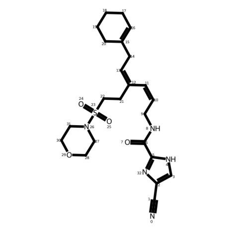 N#Cc1c[nH]c(C(=O)NC/C=C\C(=C/CC2=CCCCC2)CCS(=O)(=O)N2CCOCC2)n1